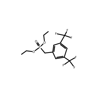 CCOP(=O)(Cc1cc(C(F)(F)F)cc(C(F)(F)F)c1)OCC